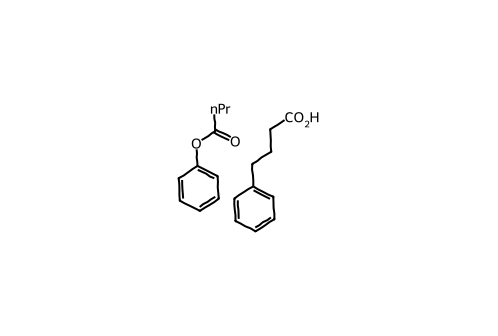 CCCC(=O)Oc1ccccc1.O=C(O)CCCc1ccccc1